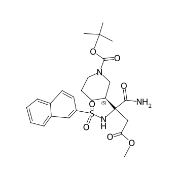 COC(=O)CC(NS(=O)(=O)c1ccc2ccccc2c1)(C(N)=O)[C@H]1CCCN(C(=O)OC(C)(C)C)C1